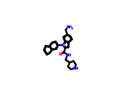 NCc1ccc2cc(C(=O)NCC3CCNCC3)n(-c3ccc4ccccc4c3)c2c1